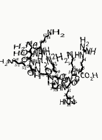 N=C(N)NCC/C=C(\NC(=O)[C@H](CCCCN)NC(=O)[C@H](CCc1cnc[nH]1)NC(=O)[C@@H]1CCCN1C(=O)[C@@H](CCCN)NC(=O)CNC(=O)[C@H](CCCCN)NC(=O)[C@@H](NC(=O)[C@@H](N)CCCCN)[C@@H](O)CN)C(=O)O